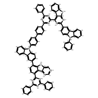 c1ccc(-c2nc(-c3ccc(-c4ccc(-n5c6ccccc6c6cc(-c7ccc(-c8nc(-c9ccccc9)nc(-c9ccccc9)n8)c8c7oc7cncnc78)ccc65)cc4)cc3)nc(-c3nc(-c4ccc5c(c4)c4ccccc4n5-c4ccccc4)nc4sc5ccccc5c34)n2)cc1